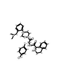 CN(C)Cc1ccccc1N1CCN(C(=O)[C@@H](Cc2ccc(Cl)cc2)NC(=O)C2N[CH]Cc3ccccc32)CC1